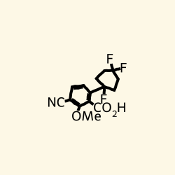 COc1c(C#N)ccc(C2(F)CCC(F)(F)CC2)c1C(=O)O